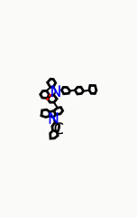 c1ccc(-c2ccc(-c3ccc(N(c4cccc(-c5cccc6c5c5ccccc5n6-c5ccc6ccccc6c5)c4)c4ccccc4-c4ccccc4)cc3)cc2)cc1